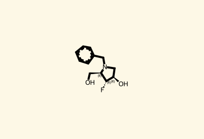 OC[C@@H]1[C@@H](F)[C@H](O)CN1Cc1ccccc1